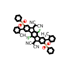 Cc1ccccc1-c1cc2c(cc1S(=O)(=O)c1ccccc1)C(=C(C#N)C#N)c1c(F)c3c(c(F)c1-2)C(=C(C#N)C#N)c1cc(S(=O)(=O)c2ccccc2)c(-c2ccccc2C)cc1-3